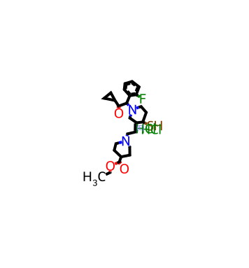 CCOC(=O)C1CCN(C/C=C2\CN(C(C(=O)C3CC3)c3ccccc3F)CCC2S)CC1.Cl.Cl